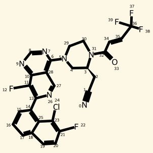 N#CC[C@H]1CN(c2ncnc3c(F)c(-c4cccc5ccc(F)c(Cl)c45)ncc23)CCN1C(=O)/C=C/C(F)(F)F